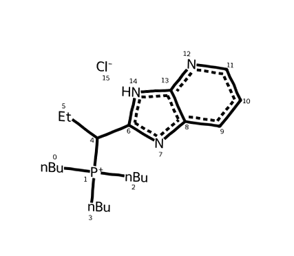 CCCC[P+](CCCC)(CCCC)C(CC)c1nc2cccnc2[nH]1.[Cl-]